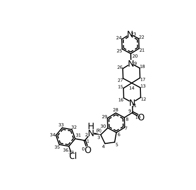 O=C(N[C@@H]1CCc2cc(C(=O)N3CCC4(CC3)CCN(c3ccncc3)CC4)ccc21)c1ccccc1Cl